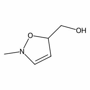 CN1C=CC(CO)O1